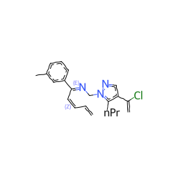 C=C/C=C\C(=N/Cn1ncc(C(=C)Cl)c1CCC)c1cccc(C)c1